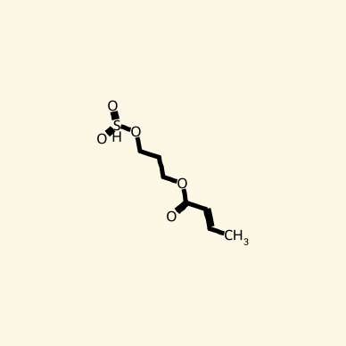 CC=CC(=O)OCCCO[SH](=O)=O